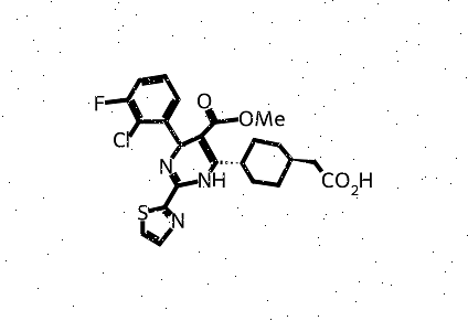 COC(=O)C1=C([C@H]2CC[C@H](CC(=O)O)CC2)NC(c2nccs2)=NC1c1cccc(F)c1Cl